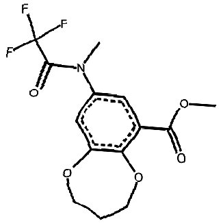 COC(=O)c1cc(N(C)C(=O)C(F)(F)F)cc2c1OCCCO2